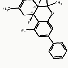 CC1=CC[C@@H]2[C@@H](C1)c1c(O)cc(-c3ccccc3)cc1OC2(C)C